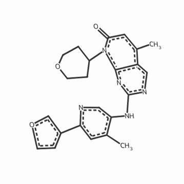 Cc1cc(-c2ccoc2)ncc1Nc1ncc2c(C)cc(=O)n(C3CCOCC3)c2n1